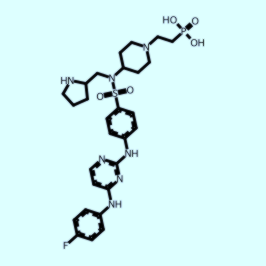 O=P(O)(O)CCN1CCC(N(CC2CCCN2)S(=O)(=O)c2ccc(Nc3nccc(Nc4ccc(F)cc4)n3)cc2)CC1